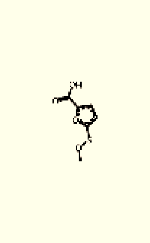 COSc1ccc(C(=O)O)o1